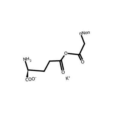 CCCCCCCCCCC(=O)OC(=O)CC[C@H](N)C(=O)[O-].[K+]